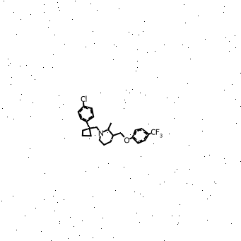 CC1C(COc2ccc(C(F)(F)F)cc2)CCCN1CC1(c2ccc(Cl)cc2)CCC1